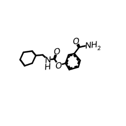 NC(=O)c1cccc(OC(=O)NCC2CCCCC2)c1